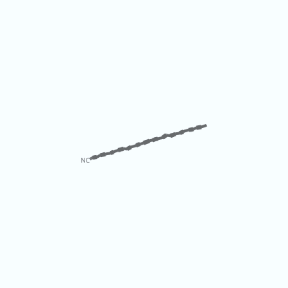 CC#CC#CC#CC#CC#CC#CC#CC#CC#CC#CC#CC#CC#CC#N